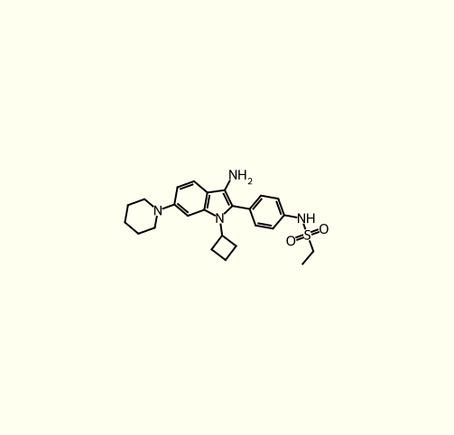 CCS(=O)(=O)Nc1ccc(-c2c(N)c3ccc(N4CCCCC4)cc3n2C2CCC2)cc1